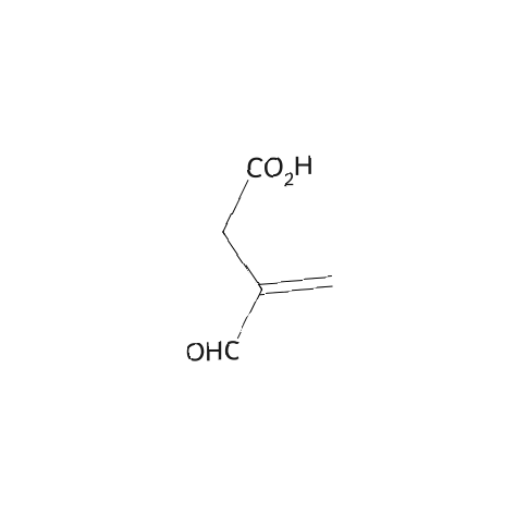 C=C(C=O)CC(=O)O